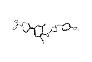 O=C(N1CC=C(c2cc(F)c(OC3CN(Cc4ccc(C(F)(F)F)cc4)C3)c(F)c2)CC1)C(F)(F)F